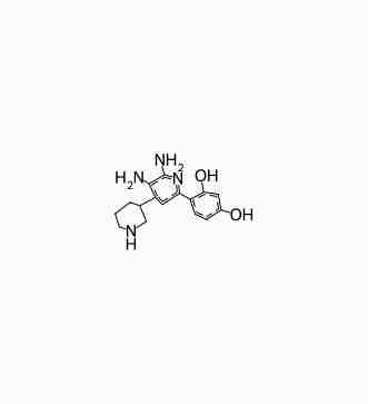 Nc1nc(-c2ccc(O)cc2O)cc(C2CCCNC2)c1N